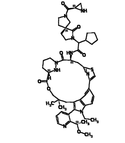 CCn1c(-c2cccnc2[C@H](C)OC)c2c3cc(ccc31)-c1csc(n1)C[C@H](NC(=O)C(C1CCCC1)N1CC[C@]3(CCN(C(=O)[C@H]4CN4)C3)C1=O)C(=O)N1CCC[C@H](N1)C(=O)OCC(C)(C)C2